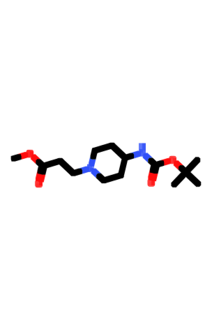 COC(=O)CCN1CCC(NC(=O)OC(C)(C)C)CC1